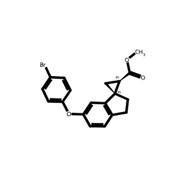 COC(=O)[C@@H]1C[C@]12CCc1ccc(Oc3ccc(Br)cc3)cc12